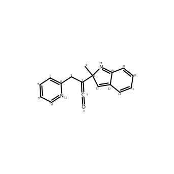 CC1(C(=C=O)Cc2ccccn2)C=c2ccccc2=N1